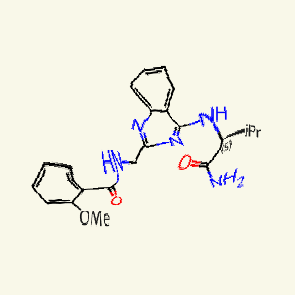 COc1ccccc1C(=O)NCc1nc(N[C@H](C(N)=O)C(C)C)c2ccccc2n1